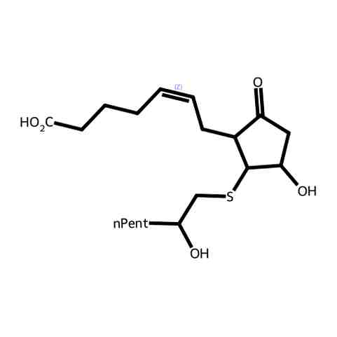 CCCCCC(O)CSC1C(O)CC(=O)C1C/C=C\CCCC(=O)O